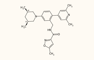 Cc1cc(-c2ccc(N3C[C@H](C)C[C@H](C)C3)cc2CNC(=O)c2cc(C)on2)cc(C)n1